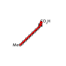 COCCOCCOCCOCCOCCOCCOCCOCCOCCOCCOCCOCCOCc1nnc(-c2ccc(C(=O)O)cc2)nn1